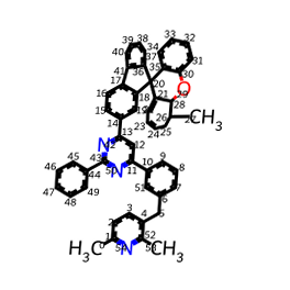 Cc1ccc(Cc2cccc(-c3cc(-c4ccc5c(c4)C4(C6=CC=CCC(C)C6Oc6ccccc64)c4ccccc4-5)nc(-c4ccccc4)n3)c2)c(C)n1